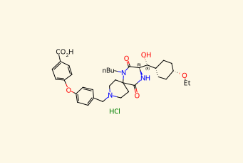 CCCCN1C(=O)[C@@H]([C@H](O)[C@H]2CC[C@@H](OCC)CC2)NC(=O)C12CCN(Cc1ccc(Oc3ccc(C(=O)O)cc3)cc1)CC2.Cl